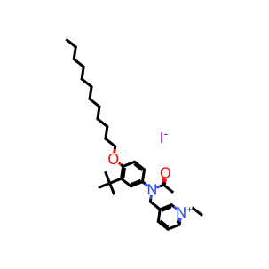 CCCCCCCCCCCCOc1ccc(N(Cc2ccc[n+](CC)c2)C(C)=O)cc1C(C)(C)C.[I-]